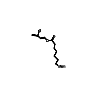 C=C(Cl)C=COC(=O)CCCCCCCCCCCCCCC